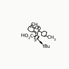 CC1=CCC(C(=O)N(c2cc(C#CC(C)(C)C)sc2C(=O)O)[C@H]2CCCCN(C)C2=O)CC1